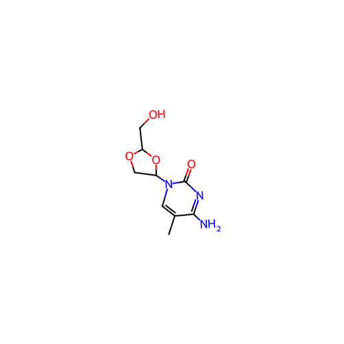 Cc1cn(C2COC(CO)O2)c(=O)nc1N